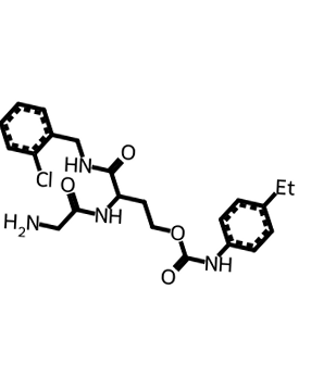 CCc1ccc(NC(=O)OCCC(NC(=O)CN)C(=O)NCc2ccccc2Cl)cc1